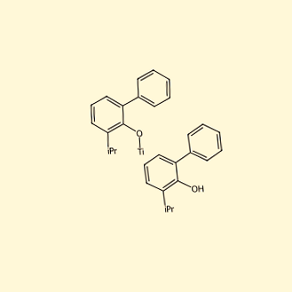 CC(C)c1cccc(-c2ccccc2)c1O.CC(C)c1cccc(-c2ccccc2)c1[O][Ti]